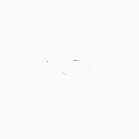 N#CCN1CC[CH]CC1